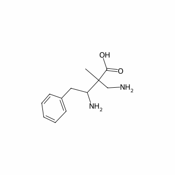 CC(CN)(C(=O)O)C(N)Cc1ccccc1